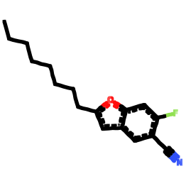 CCCCCCCCc1cc2cc(C#N)c(F)cc2o1